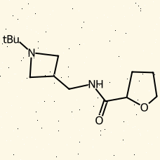 CC(C)(C)N1CC(CNC(=O)C2CCCO2)C1